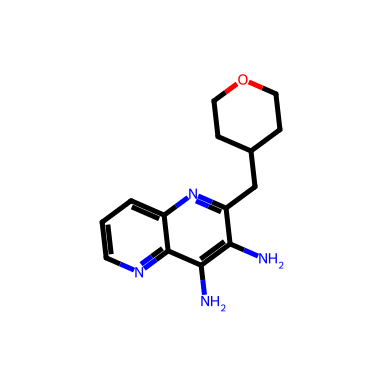 Nc1c(CC2CCOCC2)nc2cccnc2c1N